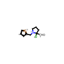 O=CC1(Br)CCCN1Cc1cccs1